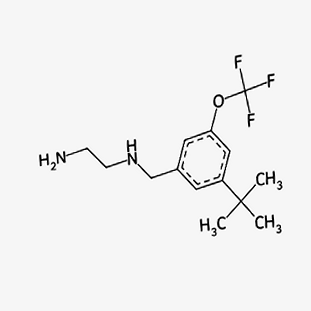 CC(C)(C)c1cc(CNCCN)cc(OC(F)(F)F)c1